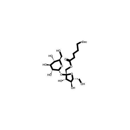 CCCCCCCCCCCCCCC(=O)OC[C@@]1(O[C@H]2O[C@H](CO)[C@@H](O)[C@H](O)[C@H]2O)O[C@H](CO)[C@@H](O)[C@@H]1O